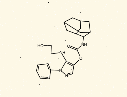 O=C(NC1C2CC3CC(C2)CC1C3)Oc1cnn(-c2ccccc2)c1NCCO